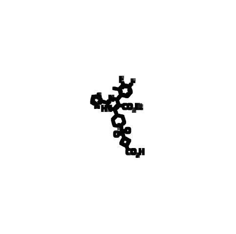 CCOC(=O)C1=C(C2CCN(S(=O)(=O)C3CC(C(=O)O)C3)CC2)NC(c2nccs2)=NC1c1ccc(F)c(F)c1C